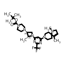 CC1=CCN(C)C12CCN(c1cc(N3C[C@@H](N4CCN(C(=O)OC(C)(C)C)CC4)[C@H]3C)nc(C(F)(F)F)n1)CC2